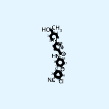 CC(O)C1CCN(c2ccc(C(=O)NC3CCC(Oc4ccc(C#N)c(Cl)c4)CC3)nn2)CC1